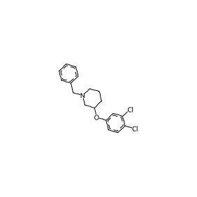 Clc1ccc(OC2CCCN(Cc3ccccc3)C2)cc1Cl